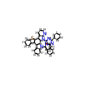 c1ccc(-c2nc(-c3ccccc3)nc(-n3c4ncccc4c4c5sc6ccccc6c5c5c6ccccc6n(-c6ccccc6)c5c43)n2)cc1